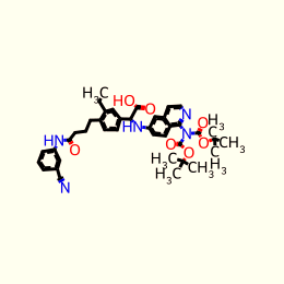 CCc1cc(C(Nc2ccc3c(N(C(=O)OC(C)(C)C)C(=O)OC(C)(C)C)nccc3c2)C(=O)O)ccc1CCCC(=O)Nc1cccc(C#N)c1